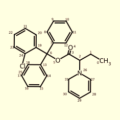 CCC(C(=O)OC(c1ccccc1)(c1ccccc1)c1ccccc1Cl)N1C=CC=CC1